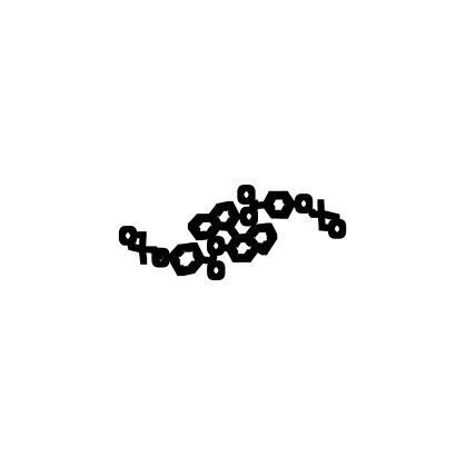 CC1(COc2ccc(C(=O)Oc3ccc4ccccc4c3-c3c(OC(=O)c4ccc(OCC5(C)COC5)cc4)ccc4ccccc34)cc2)COC1